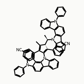 CC1=C(c2cccc(C#N)c2)C(n2c3ccccc3c3ccc4c(c5ccccc5n4-c4ccccc4)c32)=C(c2cccc(C#N)c2)[C@H]1[C@@H](C)n1c2ccccc2c2ccc3c(c4ccccc4n3-c3ccccc3)c21